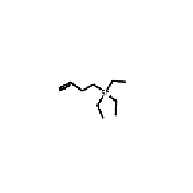 C=CC[CH2][Sn]([CH2]C)([CH2]C)[CH2]C